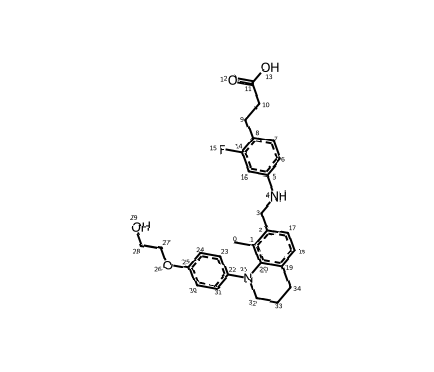 Cc1c(CNc2ccc(CCC(=O)O)c(F)c2)ccc2c1N(c1ccc(OCCO)cc1)CCC2